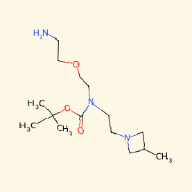 CC1CN(CCN(CCOCCN)C(=O)OC(C)(C)C)C1